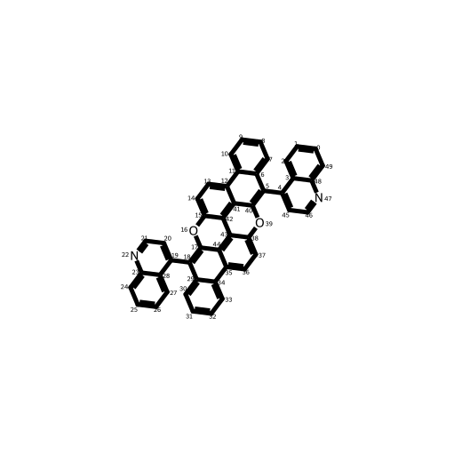 c1ccc2c(-c3c4ccccc4c4ccc5oc6c(-c7ccnc8ccccc78)c7ccccc7c7ccc8oc3c4c5-c8c67)ccnc2c1